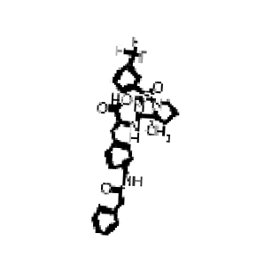 C[C@@]1(C(=O)NC(Cc2ccc(NC(=O)Cc3ccccc3)cc2)C(=O)O)CCCN1S(=O)(=O)c1cccc(C(F)(F)F)c1